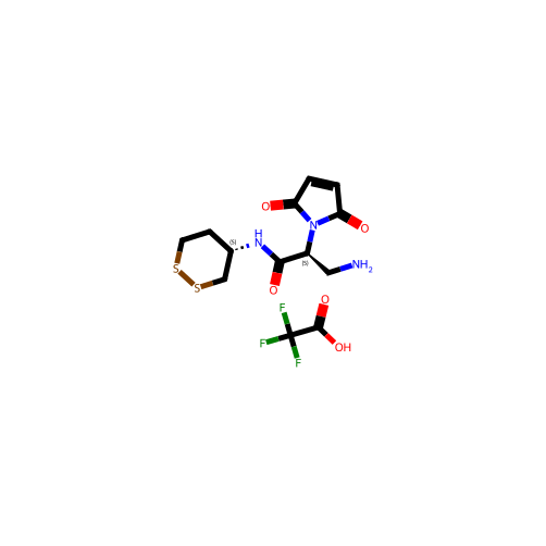 NC[C@@H](C(=O)N[C@H]1CCSSC1)N1C(=O)C=CC1=O.O=C(O)C(F)(F)F